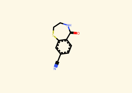 N#Cc1ccc2c(c1)SCCNC2=O